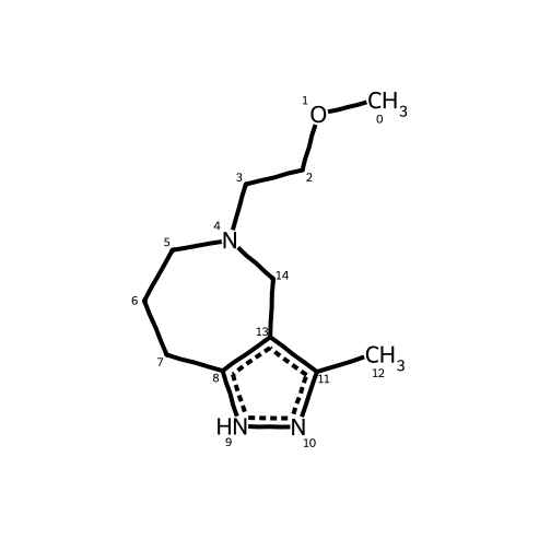 COCCN1CCCc2[nH]nc(C)c2C1